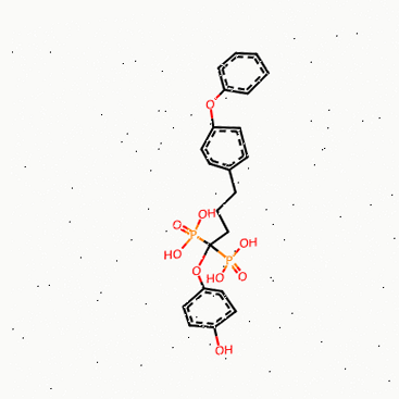 O=P(O)(O)C(CCCc1ccc(Oc2ccccc2)cc1)(Oc1ccc(O)cc1)P(=O)(O)O